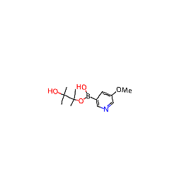 COc1cncc(B(O)OC(C)(C)C(C)(C)O)c1